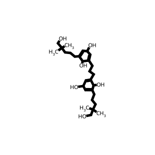 CC(C)(CO)CCCC1=CC(O)C=C(CCCC2=CC(O)C=C(CCCC(C)(C)CO)C2O)C1O